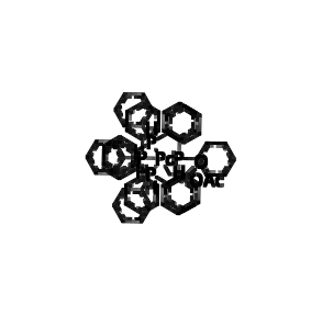 CC(=O)OC(=O)[CH2][Pd]([PH](c1ccccc1)(c1ccccc1)c1ccccc1)([PH](c1ccccc1)(c1ccccc1)c1ccccc1)([PH](c1ccccc1)(c1ccccc1)c1ccccc1)[PH](c1ccccc1)(c1ccccc1)c1ccccc1